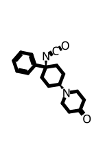 O=C=N[C@]1(c2ccccc2)CC[C@H](N2CCC(=O)CC2)CC1